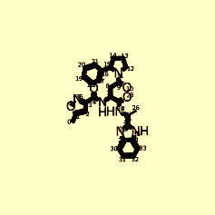 Cc1cc(C(=O)NC(CC(=O)N2CCCC2c2ccccc2)C(=O)N[C@@H](C)c2nc3ccccc3[nH]2)no1